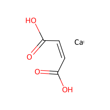 O=C(O)/C=C\C(=O)O.[Ca]